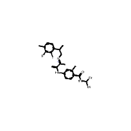 C=C(Nc1ccc(C(=O)NC(CC)CC)c(C)c1)/C(C)=N/CC(C)c1ccc(C)c(F)c1F